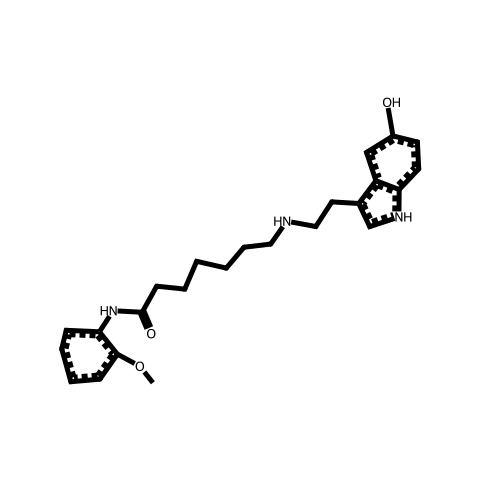 COc1ccccc1NC(=O)CCCCCCNCCc1c[nH]c2ccc(O)cc12